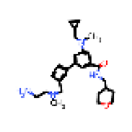 CN(CCN)Cc1cccc(-c2cc(C(=O)NCC3CCOCC3)cc(N(C)CC3CC3)c2)c1